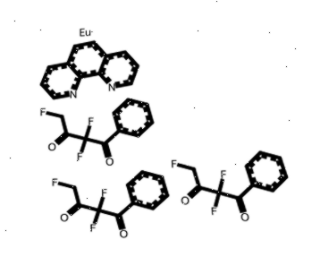 O=C(CF)C(F)(F)C(=O)c1ccccc1.O=C(CF)C(F)(F)C(=O)c1ccccc1.O=C(CF)C(F)(F)C(=O)c1ccccc1.[Eu].c1cnc2c(c1)ccc1cccnc12